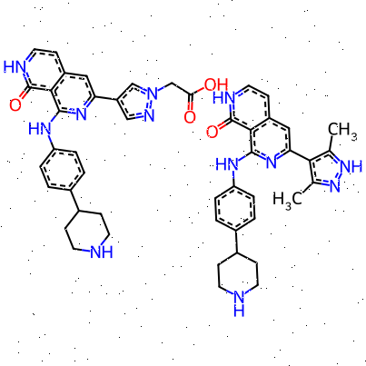 Cc1n[nH]c(C)c1-c1cc2cc[nH]c(=O)c2c(Nc2ccc(C3CCNCC3)cc2)n1.O=C(O)Cn1cc(-c2cc3cc[nH]c(=O)c3c(Nc3ccc(C4CCNCC4)cc3)n2)cn1